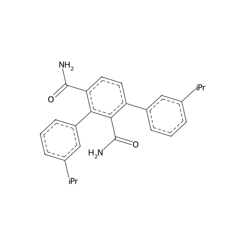 CC(C)c1cccc(-c2ccc(C(N)=O)c(-c3cccc(C(C)C)c3)c2C(N)=O)c1